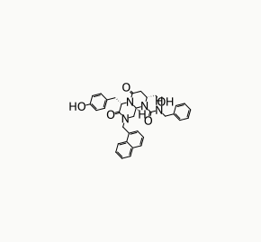 O=C1[C@H](Cc2ccc(O)cc2)N2C(=O)C[C@H](CO)N(C(=O)NCc3ccccc3)[C@H]2CN1Cc1cccc2ccccc12